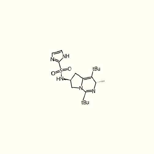 C[C@@H]1N=C(C(C)(C)C)N2C[C@@H](NS(=O)(=O)c3ncc[nH]3)CC2=C1C(C)(C)C